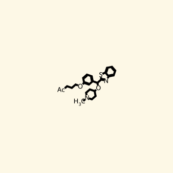 CC(=O)CCCOc1cccc(C(OC2CCN(C)CC2)c2nc3ccccc3s2)c1